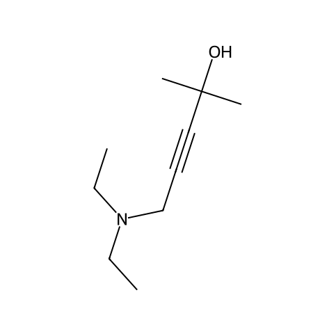 CCN(CC)CC#CC(C)(C)O